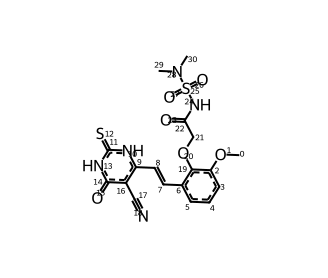 COc1cccc(/C=C/c2[nH]c(=S)[nH]c(=O)c2C#N)c1OCC(=O)NS(=O)(=O)N(C)C